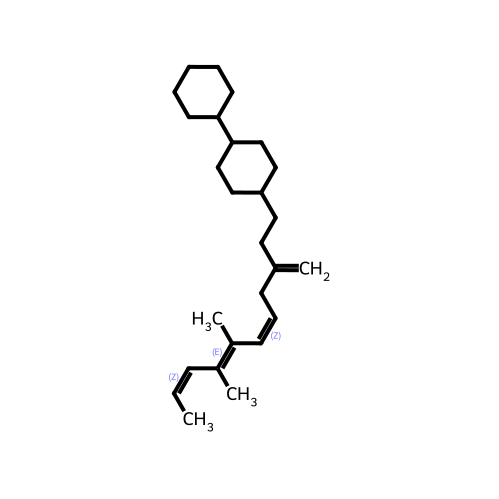 C=C(C\C=C/C(C)=C(C)/C=C\C)CCC1CCC(C2CCCCC2)CC1